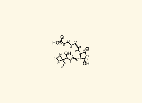 CCC1(C(O)C/C=C/[C@@H]2[C@@H](C/C=C\CCCC(=O)O)[C@H](Cl)C[C@H]2O)CCC1